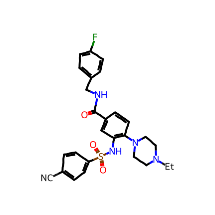 CCN1CCN(c2ccc(C(=O)NCc3ccc(F)cc3)cc2NS(=O)(=O)c2ccc(C#N)cc2)CC1